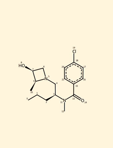 CCC[C@@H](CN1C[C@H](O)[C@@H]1C)N(C)C(=O)c1ccc(Cl)cc1